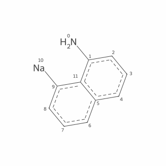 Nc1cccc2ccc[c]([Na])c12